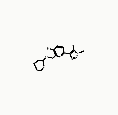 [CH2]c1c(-c2ccc(Br)c(COC3CCCCO3)n2)nnn1C